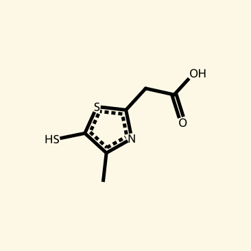 Cc1nc(CC(=O)O)sc1S